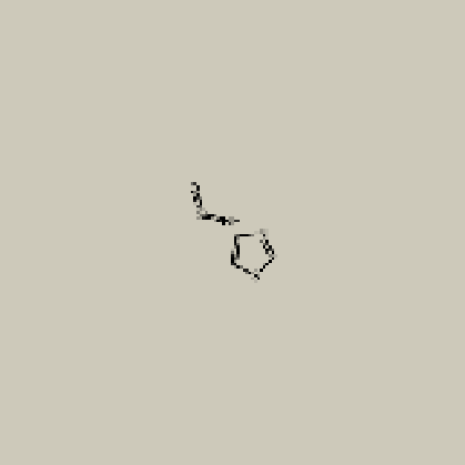 N=S=O.c1cscn1